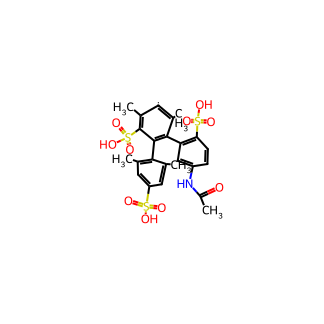 CC(=O)Nc1ccc(S(=O)(=O)O)c(-c2c(C)[c]c(C)c(S(=O)(=O)O)c2-c2c(C)cc(S(=O)(=O)O)cc2C)c1